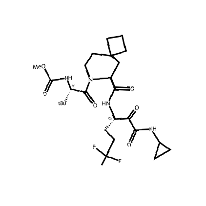 COC(=O)N[C@H](C(=O)N1CCC2(CCC2)CC1C(=O)N[C@@H](CCC(C)(F)F)C(=O)C(=O)NC1CC1)C(C)(C)C